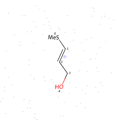 CS/C=C/CO